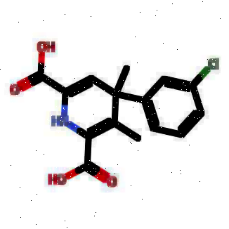 CC1=C(C(=O)O)NC(C(=O)O)=CC1(C)c1cccc(Cl)c1